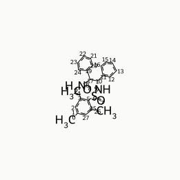 Cc1cc(C)c(S(=O)(=O)N[C@@H](c2ccccc2)[C@@H](N)c2ccccc2)c(C)c1